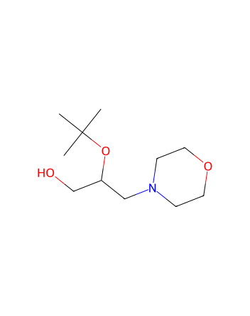 CC(C)(C)OC(CO)CN1CCOCC1